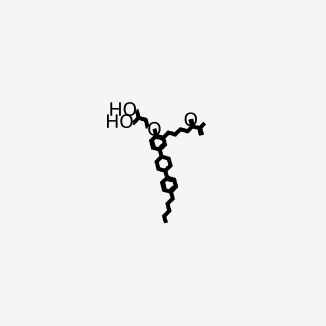 C=C(C)C(=O)CCCCc1cc(C2CCC(c3ccc(CCCCC)cc3)CC2)ccc1OCCC(CO)CO